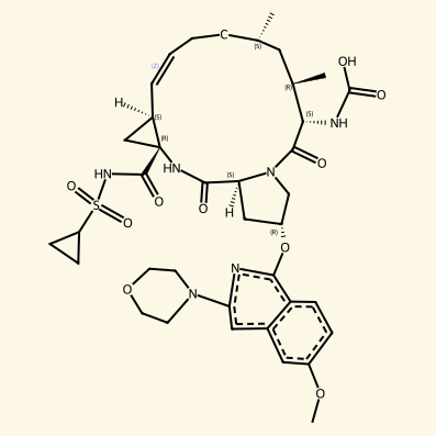 COc1ccc2c(O[C@@H]3C[C@H]4C(=O)N[C@]5(C(=O)NS(=O)(=O)C6CC6)C[C@H]5/C=C\CC[C@H](C)C[C@@H](C)[C@H](NC(=O)O)C(=O)N4C3)nc(N3CCOCC3)cc2c1